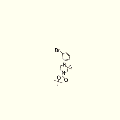 CC(C)(C)OC(=O)N1CCN(c2cccc(Br)c2)C2(CC2)C1